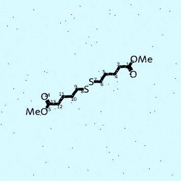 COC(=O)CCCCSSCCCCC(=O)OC